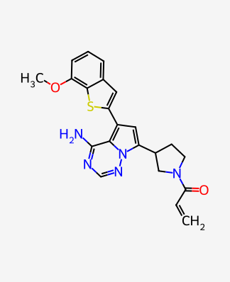 C=CC(=O)N1CCC(c2cc(-c3cc4cccc(OC)c4s3)c3c(N)ncnn23)C1